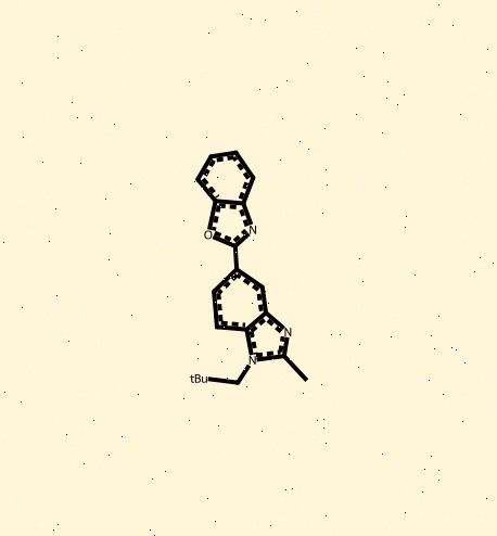 Cc1nc2cc(-c3nc4ccccc4o3)ccc2n1CC(C)(C)C